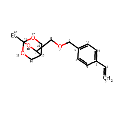 C=Cc1ccc(COCC2OC3(CC)OCC2CO3)cc1